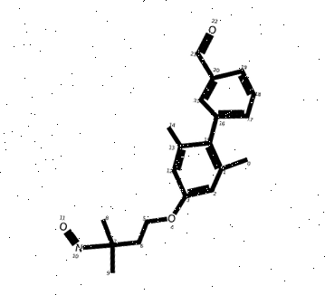 Cc1cc(OCCC(C)(C)N=O)cc(C)c1-c1cccc(C=O)c1